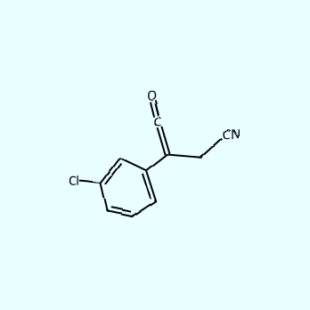 N#CCC(=C=O)c1cccc(Cl)c1